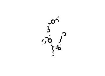 Cc1ncsc1-c1ccc(C(C)NC(=O)C2CC(OC(=O)OC(C(=O)N3CCN(C)CC3)c3ccc(NC(=O)C(CCCNC(N)=O)NC(=O)C4(C(=O)NCCCCCN5C(=O)C=CC5=O)CCC4)cc3)CN2C(=O)O)cc1